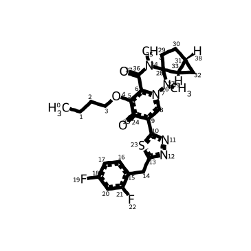 CCCCOc1c2n(cc(-c3nnc(Cc4ccc(F)cc4F)s3)c1=O)N(C)C1(CC[C@@H]3C[C@@H]31)N(C)C2=O